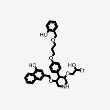 CCC(O)COC1CNCC(OCc2cc(O)c3ccccc3c2)C1c1ccc(OCCCOCc2ccccc2O)cc1